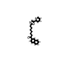 O=C(CCCCCCc1ncc(-c2ccccn2)o1)c1ccc2ccccc2c1